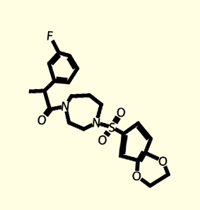 CC(C(=O)N1CCCN(S(=O)(=O)c2ccc3c(c2)OCCO3)CC1)c1cccc(F)c1